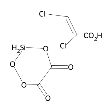 O=C(O)C(Cl)=CCl.O=C1OO[SiH2]OC1=O